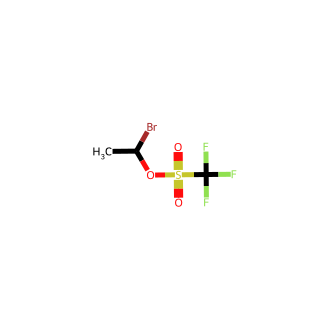 CC(Br)OS(=O)(=O)C(F)(F)F